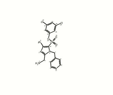 CC(C)c1nc(CN)n(Cc2ccncc2)c1S(=O)(=O)Oc1cc(Cl)cc(Cl)c1